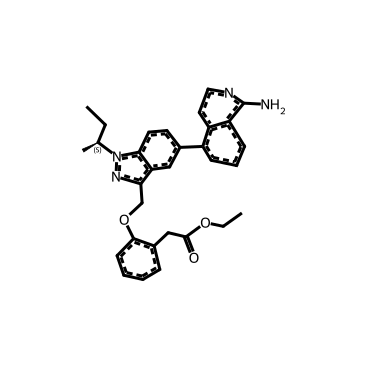 CCOC(=O)Cc1ccccc1OCc1nn([C@@H](C)CC)c2ccc(-c3cccc4c(N)nccc34)cc12